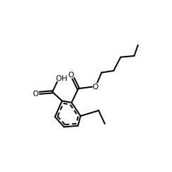 CCCCCOC(=O)c1c(CC)cccc1C(=O)O